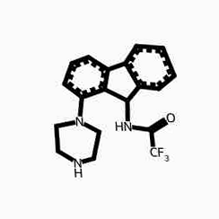 O=C(NC1c2ccccc2-c2cccc(N3CCNCC3)c21)C(F)(F)F